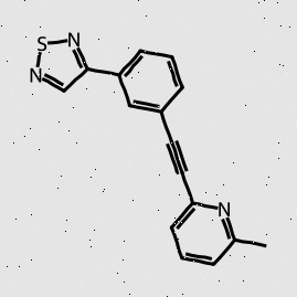 Cc1cccc(C#Cc2cccc(-c3cnsn3)c2)n1